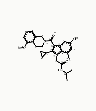 COc1cccc2c1CCN(C(=O)c1c(C3CC3)n(CC(=O)NC(C)C)c3c(C)cc(Cl)cc13)C2